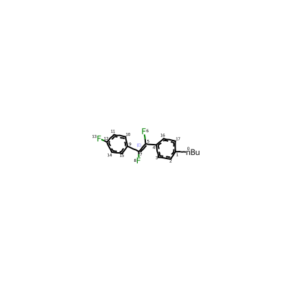 CCCCc1ccc(/C(F)=C(\F)c2ccc(F)cc2)cc1